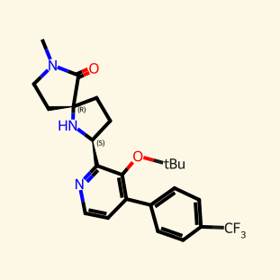 CN1CC[C@]2(CC[C@@H](c3nccc(-c4ccc(C(F)(F)F)cc4)c3OC(C)(C)C)N2)C1=O